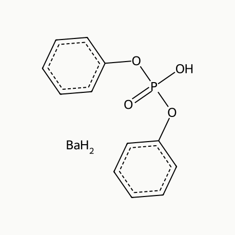 O=P(O)(Oc1ccccc1)Oc1ccccc1.[BaH2]